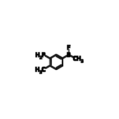 CB(F)c1ccc(C)c(P)c1